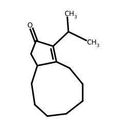 CC(C)C1=C2CCCCCCCC2CC1=O